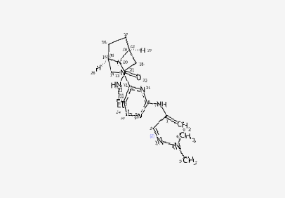 C=C(/C=N\N(C)C)Nc1nccc(N2C[C@H]3CC[C@@H](C2)N3C(=O)NCC)n1